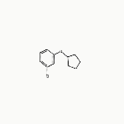 Clc1cc[c]c(OC2CCCC2)c1